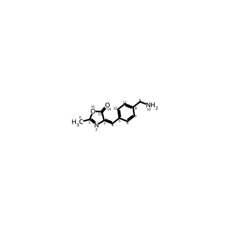 CC1=NC(=Cc2ccc(CN)cc2)C(=O)O1